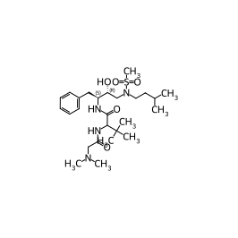 CC(C)CCN(C[C@@H](O)[C@H](Cc1ccccc1)NC(=O)C(NC(=O)CN(C)C)C(C)(C)C)S(C)(=O)=O